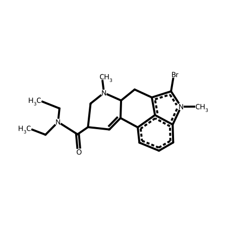 CCN(CC)C(=O)C1C=C2c3cccc4c3c(c(Br)n4C)CC2N(C)C1